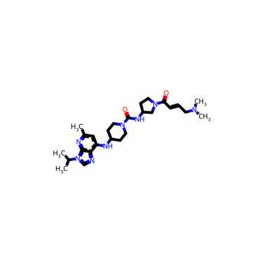 Cc1cc(NC2CCN(C(=O)NC3CCN(C(=O)/C=C/CN(C)C)C3)CC2)c2ncn(C(C)C)c2n1